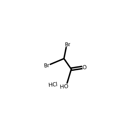 Cl.O=C(O)C(Br)Br